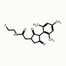 Cc1cc(C)c(C2C(=O)CC(CC(=O)NCCF)C2=O)c(C)c1